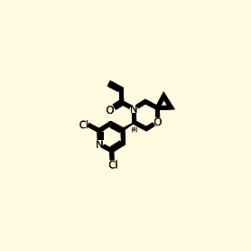 C=CC(=O)N1CC2(CC2)OC[C@H]1c1cc(Cl)nc(Cl)c1